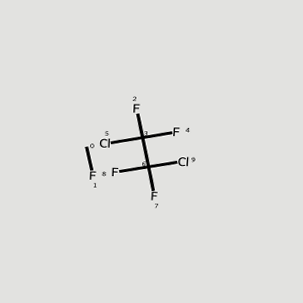 CF.FC(F)(Cl)C(F)(F)Cl